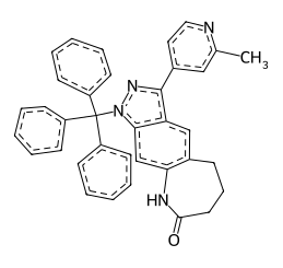 Cc1cc(-c2nn(C(c3ccccc3)(c3ccccc3)c3ccccc3)c3cc4c(cc23)CCCC(=O)N4)ccn1